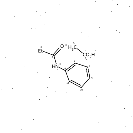 CC(=O)O.CCC(=O)Nc1ccccc1